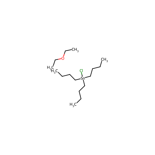 CCC[CH2][Sn]([Cl])([CH2]CCC)[CH2]CCC.CCOCC